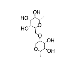 C[C@@H]1O[C@@H](CO[C@@H]2CO[C@@H](C)[C@H](O)[C@H]2O)[C@H](O)[C@H](O)[C@H]1O